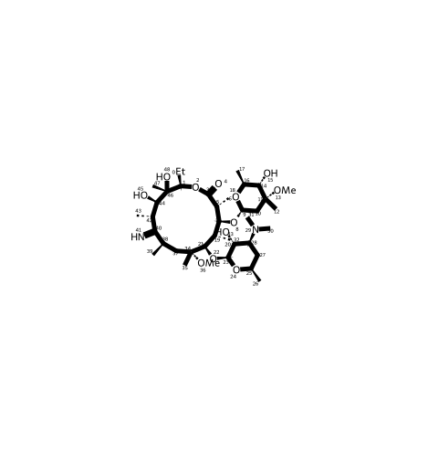 CC[C@H]1OC(=O)[C@H](C)[C@@H](O[C@H]2C[C@@](C)(OC)[C@@H](O)[C@H](C)O2)[C@H](C)[C@@H](O[C@@H]2O[C@H](C)C[C@H](N(C)C)[C@H]2O)[C@](C)(OC)C[C@@H](C)C(=N)[C@H](C)[C@@H](O)[C@]1(C)O